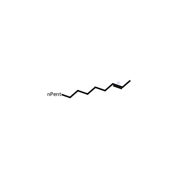 [CH2]CCCCCCCCC/C=C/C